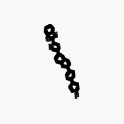 Fc1ccc(-c2ccc(-c3ccc4cc(-c5ccc(-c6nc7ccccc7o6)nc5)ccc4c3)cc2)cc1